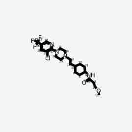 COCCC(=O)NC1CCC(CCN2CCN(c3ncc(C(F)(F)F)cc3Cl)CC2)CC1